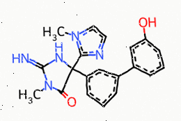 CN1C(=N)NC(c2cccc(-c3cccc(O)c3)c2)(c2nccn2C)C1=O